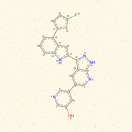 Oc1cncc(-c2cnc3[nH]nc(-c4cc5c(-c6ccc(F)s6)cccc5[nH]4)c3c2)c1